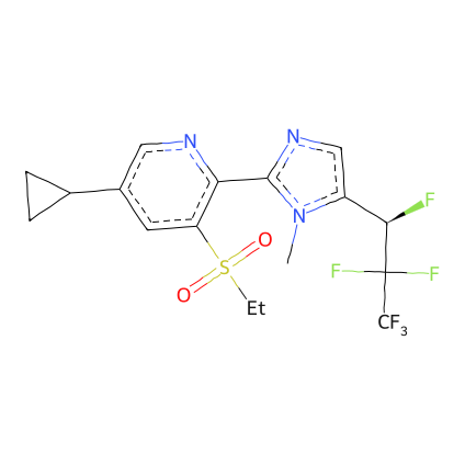 CCS(=O)(=O)c1cc(C2CC2)cnc1-c1ncc([C@@H](F)C(F)(F)C(F)(F)F)n1C